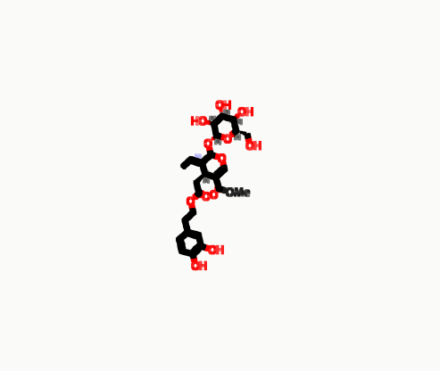 C/C=C1/C(O[C@H]2O[C@@H](CO)[C@H](O)[C@@H](O)[C@@H]2O)OC=C(C(=O)OC)[C@H]1CC(=O)OCCc1ccc(O)c(O)c1